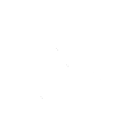 Cc1ccc2cc(-c3ccc(F)cc3)n(-c3ccc4[nH]ccc4c3)c2n1